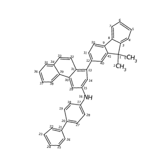 CC1(C)c2ccccc2-c2ccc(-c3cc(Nc4ccc(-c5ccccc5)cc4)cc4c3ccc3ccccc34)cc21